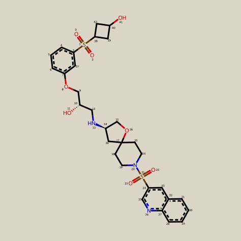 O=S(=O)(c1cccc(OC[C@@H](O)CN[C@H]2COC3(CCN(S(=O)(=O)c4cnc5ccccc5c4)CC3)C2)c1)C1CC(O)C1